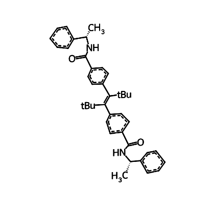 C[C@H](NC(=O)c1ccc(/C(=C(/c2ccc(C(=O)N[C@@H](C)c3ccccc3)cc2)C(C)(C)C)C(C)(C)C)cc1)c1ccccc1